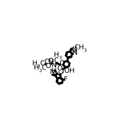 C[C@H](NC(=O)OC(C)(C)C)C(=O)O[C@H](C[C@H]1c2c(F)cccc2-c2cncn21)C1(O)CCC(c2ccc3cn(C)nc3c2)CC1